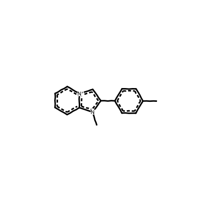 Cc1ccc(-c2c[n+]3ccccc3n2C)cc1